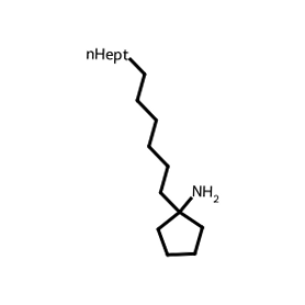 CCCCCCCCCCCCCC1(N)CCCC1